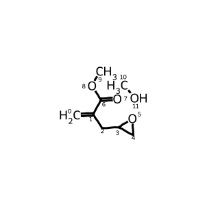 C=C(CC1CO1)C(=O)OC.CO